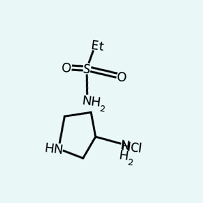 CCS(N)(=O)=O.Cl.NC1CCNC1